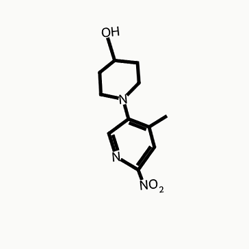 Cc1cc([N+](=O)[O-])ncc1N1CCC(O)CC1